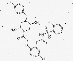 C[C@@H]1CN(Cc2ccc(F)cc2)[C@@H](C)CN1C(=O)COc1ccc(Cl)cc1CC(=O)NS(=O)(=O)c1ccccc1F